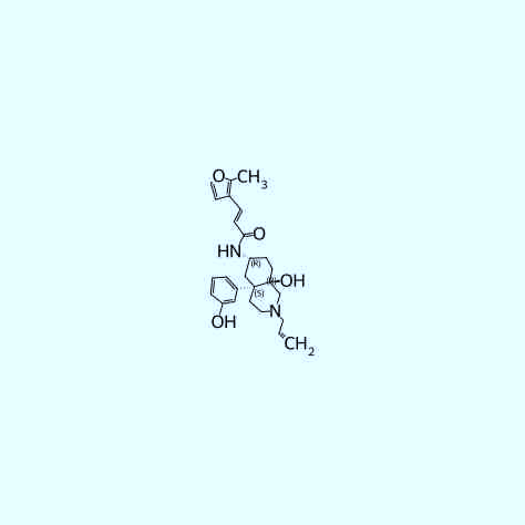 C=CCN1CC[C@@]2(c3cccc(O)c3)C[C@H](NC(=O)C=Cc3ccoc3C)CC[C@]2(O)C1